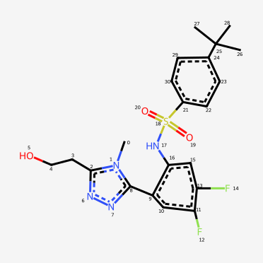 Cn1c(CCO)nnc1-c1cc(F)c(F)cc1NS(=O)(=O)c1ccc(C(C)(C)C)cc1